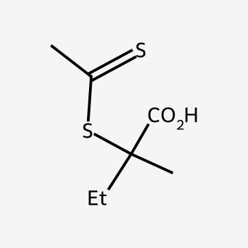 CCC(C)(SC(C)=S)C(=O)O